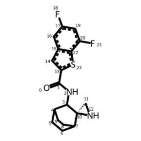 O=C(NC1C2CCC(CC2)[C@@]12CN2)c1cc2cc(F)cc(F)c2s1